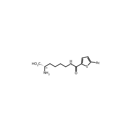 CC(=O)c1ccc(C(=O)NCCCC[C@H](N)C(=O)O)s1